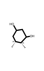 C[C@@H]1CC(O)CC(O)[C@@H]1C